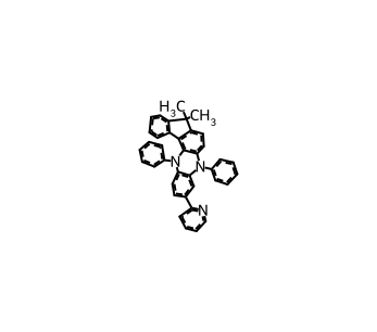 CC1(C)c2ccccc2-c2c1ccc1c2N(c2ccccc2)c2ccc(-c3ccccn3)cc2N1c1ccccc1